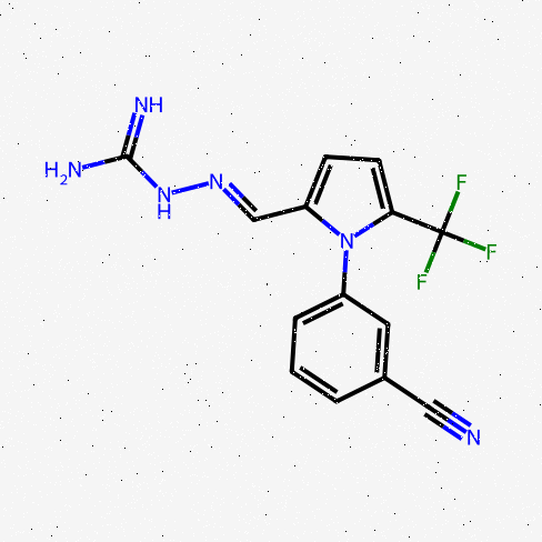 N#Cc1cccc(-n2c(/C=N/NC(=N)N)ccc2C(F)(F)F)c1